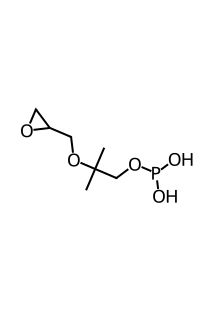 CC(C)(COP(O)O)OCC1CO1